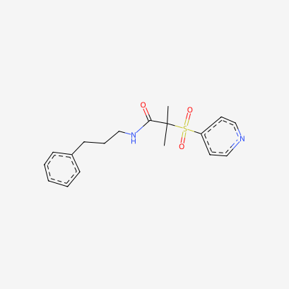 CC(C)(C(=O)NCCCc1ccccc1)S(=O)(=O)c1ccncc1